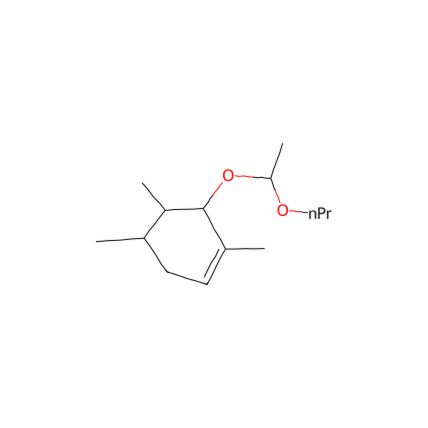 CCCOC(C)OC1C(C)=CCC(C)C1C